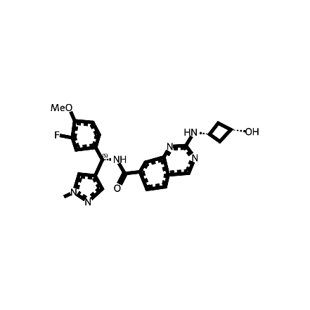 COc1ccc([C@H](NC(=O)c2ccc3cnc(N[C@H]4C[C@@H](O)C4)nc3c2)c2cnn(C)c2)cc1F